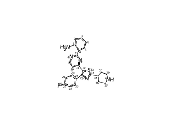 Nc1ccccc1-c1nccc(-c2sc(C3CCNCC3)nc2-c2ccc(F)cc2)n1